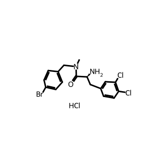 CN(Cc1ccc(Br)cc1)C(=O)[C@@H](N)Cc1ccc(Cl)c(Cl)c1.Cl